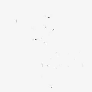 C[C@H](c1cccc(C#N)c1)N1C(=O)[C@@H]2C[C@H]1CN2C[C@H](NC(=O)OC(C)(C)C)C(=O)N1CCC[C@H]1C#N